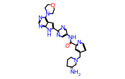 N[C@@H]1CCCN(Cc2ccnc(C(=O)Nc3cnc(-c4cc5c(N6CCOCC6)ncnc5[nH]4)nc3)c2)C1